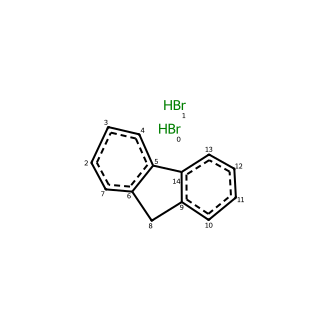 Br.Br.c1ccc2c(c1)Cc1ccccc1-2